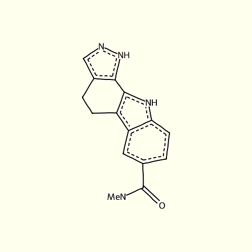 CNC(=O)c1ccc2[nH]c3c(c2c1)CCc1cn[nH]c1-3